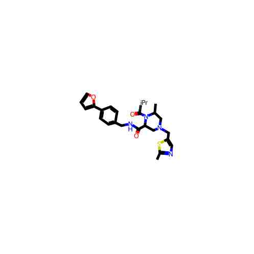 Cc1ncc(CN2CC(C)N(C(=O)C(C)C)C(C(=O)NCc3ccc(-c4ccco4)cc3)C2)s1